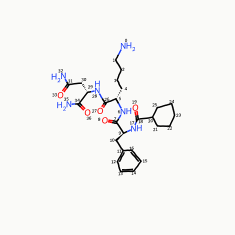 NCCCC[C@H](NC(=O)[C@H](Cc1ccccc1)NC(=O)C1CCCCC1)C(=O)N[C@@H](CC(N)=O)C(N)=O